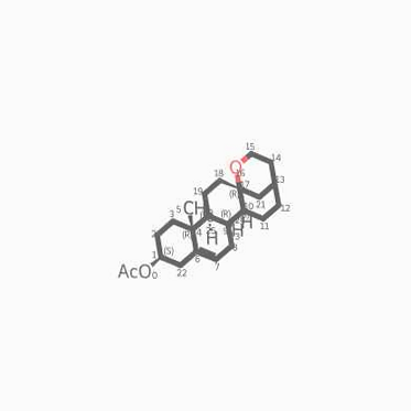 CC(=O)O[C@H]1CC[C@@]2(C)C(=CC[C@H]3[C@@H]4CCC5CCO[C@]4(CC[C@@H]32)C5)C1